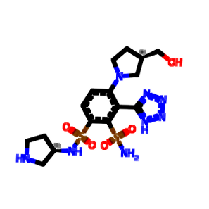 NS(=O)(=O)c1c(S(=O)(=O)N[C@@H]2CCNC2)ccc(N2CC[C@@H](CO)C2)c1-c1nnn[nH]1